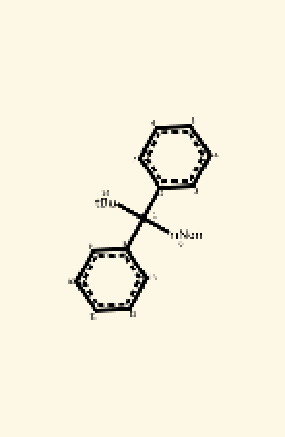 CCCCCCCCCC(c1ccccc1)(c1ccccc1)C(C)(C)C